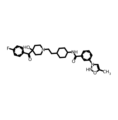 CC1=CN(c2cccc(C(=O)NC3CCC(CCN4CCC(O)(C(=O)c5ccc(F)cc5)CC4)CC3)c2)NO1